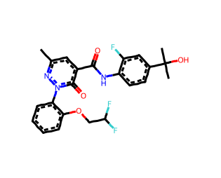 Cc1cc(C(=O)Nc2ccc(C(C)(C)O)cc2F)c(=O)n(-c2ccccc2OCC(F)F)n1